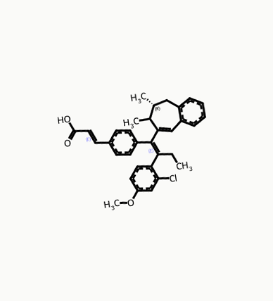 CC/C(=C(\C1=Cc2ccccc2C[C@@H](C)C1C)c1ccc(/C=C/C(=O)O)cc1)c1ccc(OC)cc1Cl